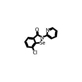 O=c1c2cccc(Cl)c2[se]n1-c1ccccn1